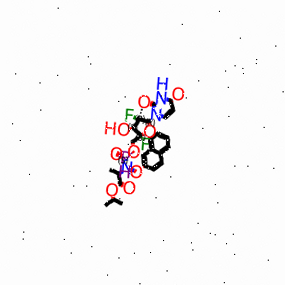 CC(C)OC(=O)C(C)N(Oc1ccc2ccccc2c1)[P@@H](=O)OC[C@@]1(F)O[C@@H](n2ccc(=O)[nH]c2=O)[C@](C)(F)[C@@H]1O